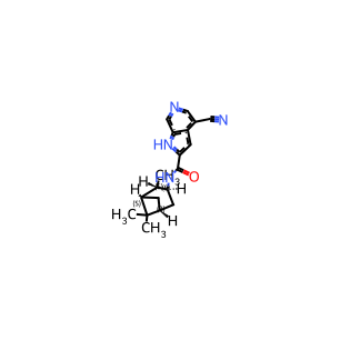 C[C@@H]1[C@@H](NC(=O)c2cc3c(C#N)cncc3[nH]2)C[C@H]2C[C@@H]1C2(C)C